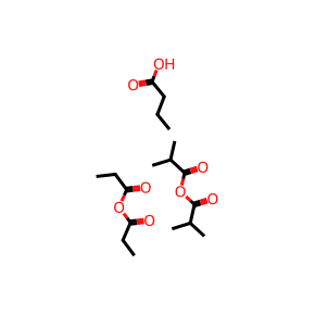 CC(C)C(=O)OC(=O)C(C)C.CCC(=O)OC(=O)CC.CCCC(=O)O